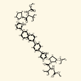 COC(=O)NC(C(=O)N1C[C@@H](CN(C)C)C[C@H]1c1ncc(-c2ccc(-c3ccc4cc(-c5cnc([C@@H]6CCCN6C(=O)[C@@H](NC(=O)OC)C(C)C)[nH]5)ccc4c3)cc2)[nH]1)C(C)C